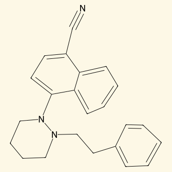 N#Cc1ccc(N2CCCCN2CCc2ccccc2)c2ccccc12